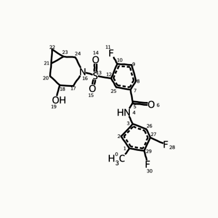 Cc1cc(NC(=O)c2ccc(F)c(S(=O)(=O)N3CC(O)CC4CC4C3)c2)cc(F)c1F